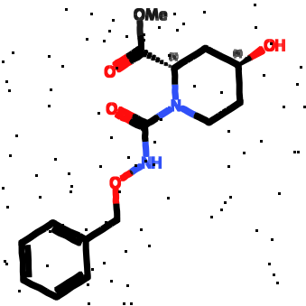 COC(=O)[C@@H]1C[C@@H](O)CCN1C(=O)NOCc1ccccc1